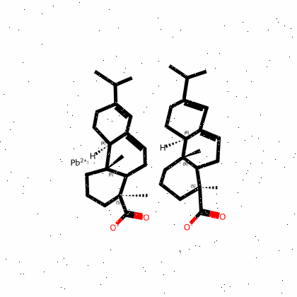 CC(C)C1=CC2=CCC3[C@](C)(CCC[C@]3(C)C(=O)[O-])[C@H]2CC1.CC(C)C1=CC2=CCC3[C@](C)(CCC[C@]3(C)C(=O)[O-])[C@H]2CC1.[Pb+2]